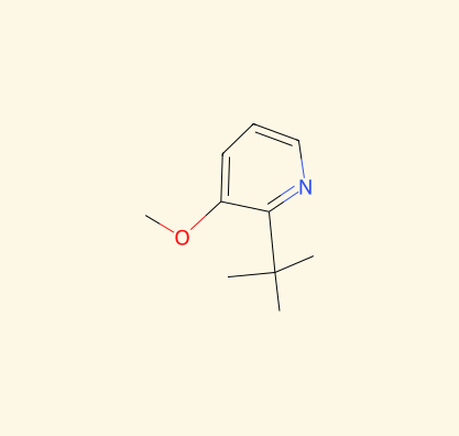 COc1cccnc1C(C)(C)C